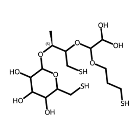 C[C@H](OC1OC(CS)C(O)C(O)C1O)C(CS)OC(OCCCS)C(O)O